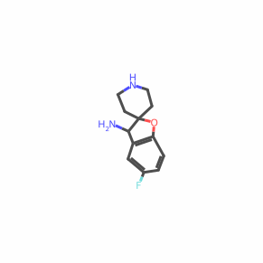 NC1c2cc(F)ccc2OC12CCNCC2